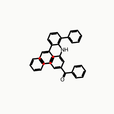 O=C(c1ccccc1)c1cc(Nc2c(-c3ccccc3)cccc2-c2ccccc2)cc(-c2ccccc2)c1